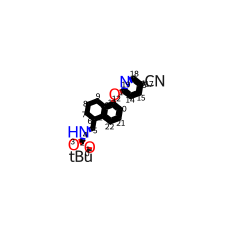 CC(C)(C)OC(=O)NCC1CCCc2c(Oc3ccc(C#N)cn3)cccc21